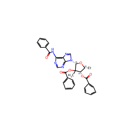 CC[C@H]1O[C@@H](n2cnc3c(NC(=O)c4ccccc4)ncnc32)C(C)(OC(=O)c2ccccc2)[C@H]1OC(=O)c1ccccc1